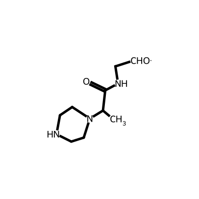 CC(C(=O)NC[C]=O)N1CCNCC1